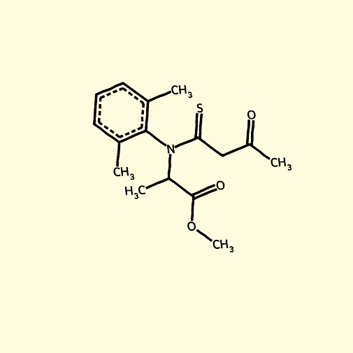 COC(=O)C(C)N(C(=S)CC(C)=O)c1c(C)cccc1C